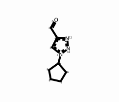 O=Cc1cn(C2CCCC2)nn1